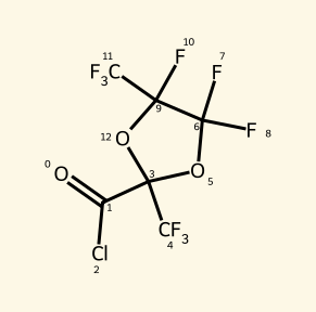 O=C(Cl)C1(C(F)(F)F)OC(F)(F)C(F)(C(F)(F)F)O1